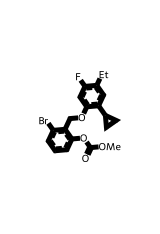 CCc1cc(C2CC2)c(OCc2c(Br)cccc2OC(=O)OC)cc1F